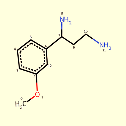 COc1cccc(C(N)CCN)c1